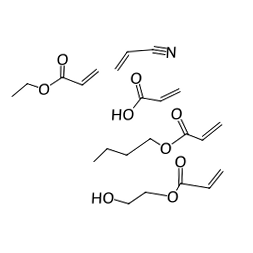 C=CC#N.C=CC(=O)O.C=CC(=O)OCC.C=CC(=O)OCCCC.C=CC(=O)OCCO